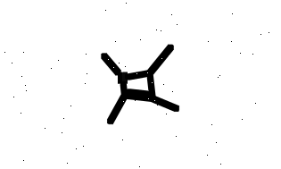 CC1=C(C)N(C)C1C